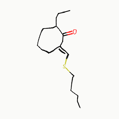 CCCCSC=C1CCCC(CC)C1=O